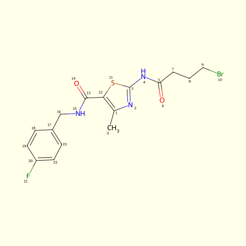 Cc1nc(NC(=O)CCCBr)sc1C(=O)NCc1ccc(F)cc1